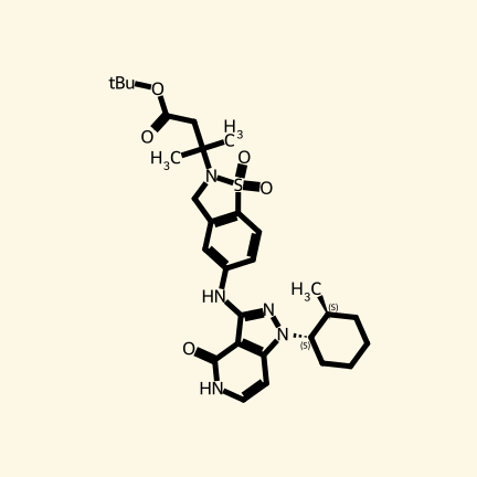 C[C@H]1CCCC[C@@H]1n1nc(Nc2ccc3c(c2)CN(C(C)(C)CC(=O)OC(C)(C)C)S3(=O)=O)c2c(=O)[nH]ccc21